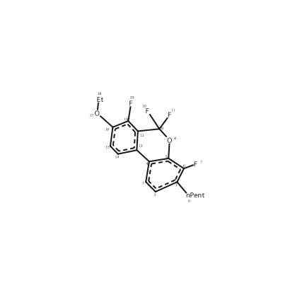 CCCCCc1ccc2c(c1F)OC(F)(F)c1c-2ccc(OCC)c1F